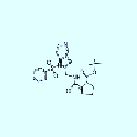 CC(C)(C)OC(=O)N1CCC[C@H]1C(=O)NCc1cc2cnccc2n1S(=O)(=O)c1ccccc1